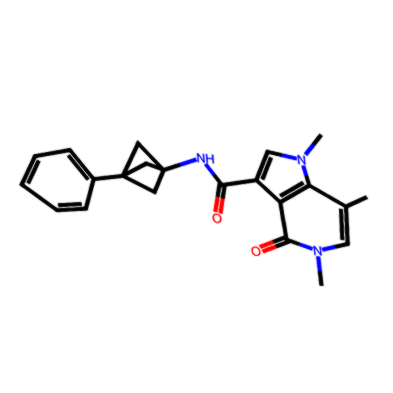 Cc1cn(C)c(=O)c2c(C(=O)NC34CC(c5ccccc5)(C3)C4)cn(C)c12